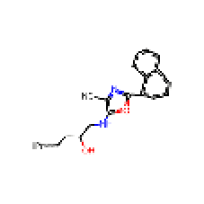 CC(C)CCC(O)CNc1oc(-c2cccc3ccccc23)nc1C#N